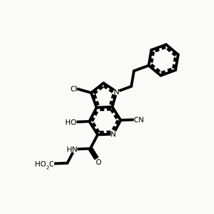 N#Cc1nc(C(=O)NCC(=O)O)c(O)c2c(Cl)cn(CCc3ccccc3)c12